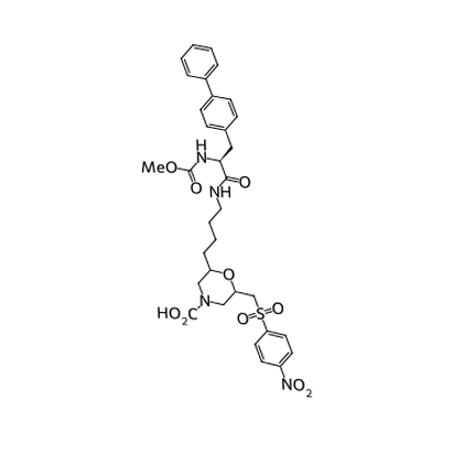 COC(=O)N[C@@H](Cc1ccc(-c2ccccc2)cc1)C(=O)NCCCCC1CN(C(=O)O)CC(CS(=O)(=O)c2ccc([N+](=O)[O-])cc2)O1